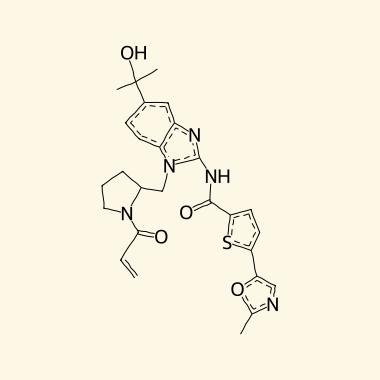 C=CC(=O)N1CCCC1Cn1c(NC(=O)c2ccc(-c3cnc(C)o3)s2)nc2cc(C(C)(C)O)ccc21